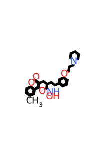 Cc1ccc2oc(=O)c(CC(CCc3cccc(OCCCN4CCCCC4)c3)C(=O)NO)cc2c1